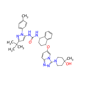 Cc1ccc(-n2nc(C(C)(C)C)cc2NC(=O)N[C@H]2CC[C@@H](Oc3ccc4nnc(N5CCC(C)(O)CC5)n4c3)c3ccccc32)cc1